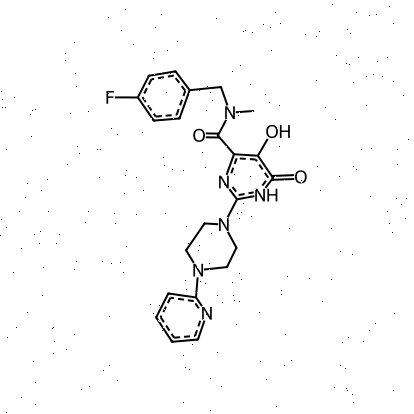 CN(Cc1ccc(F)cc1)C(=O)c1nc(N2CCN(c3ccccn3)CC2)[nH]c(=O)c1O